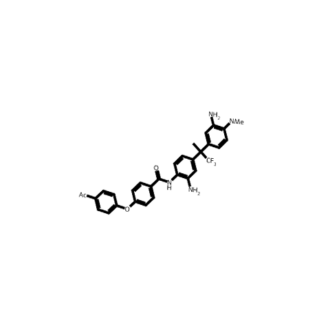 CNc1ccc(C(C)(c2ccc(NC(=O)c3ccc(Oc4ccc(C(C)=O)cc4)cc3)c(N)c2)C(F)(F)F)cc1N